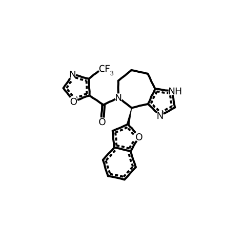 O=C(c1ocnc1C(F)(F)F)N1CCCc2[nH]cnc2[C@H]1c1cc2ccccc2o1